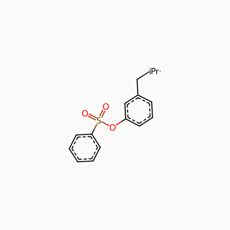 C[C](C)Cc1cccc(OS(=O)(=O)c2ccccc2)c1